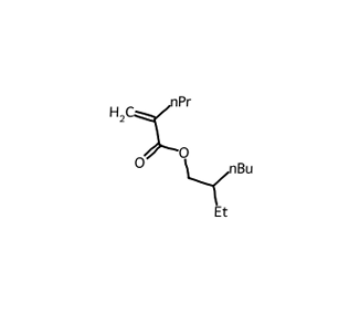 C=C(CCC)C(=O)OCC(CC)CCCC